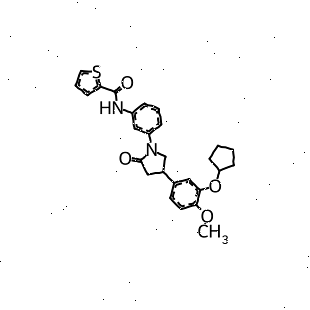 COc1ccc(C2CC(=O)N(c3cccc(NC(=O)c4cccs4)c3)C2)cc1OC1CCCC1